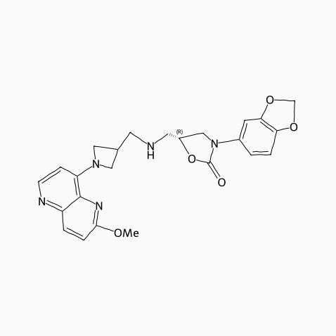 COc1ccc2nccc(N3CC(CNC[C@@H]4CN(c5ccc6c(c5)OCO6)C(=O)O4)C3)c2n1